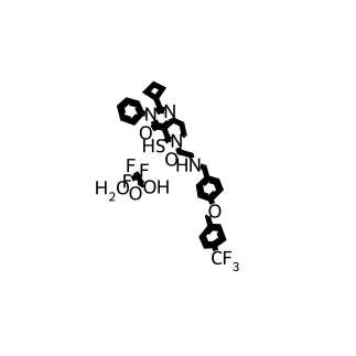 O.O=C(CNCc1ccc(OCc2ccc(C(F)(F)F)cc2)cc1)N1CCc2nc(C3CCC3)n(-c3ccccc3)c(=O)c2C1S.O=C(O)C(F)(F)F